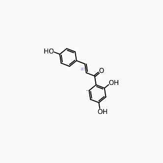 O=C(/C=C/c1ccc(O)cc1)c1[c]cc(O)cc1O